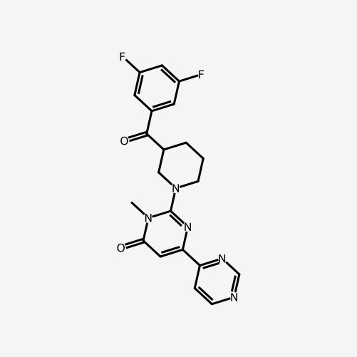 Cn1c(N2CCCC(C(=O)c3cc(F)cc(F)c3)C2)nc(-c2ccncn2)cc1=O